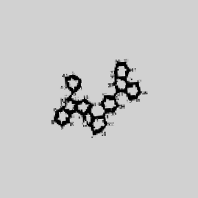 c1ccc(-c2nc3ccccc3c3c2ccc2c3oc3cccc(-c4ccc(-c5cc6ccccc6c6ccccc56)cc4)c32)cc1